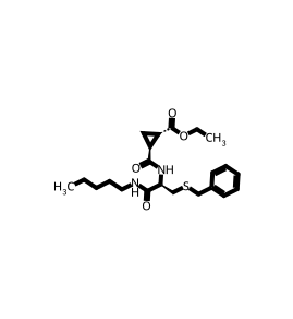 CCCCCNC(=O)[C@H](CSCc1ccccc1)NC(=O)[C@H]1C[C@@H]1C(=O)OCC